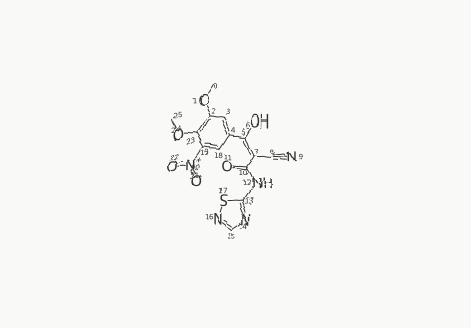 COc1cc(C(O)=C(C#N)C(=O)Nc2ncns2)cc([N+](=O)[O-])c1OC